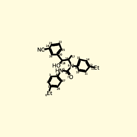 CCc1ccc(NC(=O)N(c2ccc(CC)cc2)C(C)C(O)c2cccc(C#N)c2)cc1